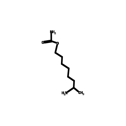 CC(N)CCCCCCOC(N)=O